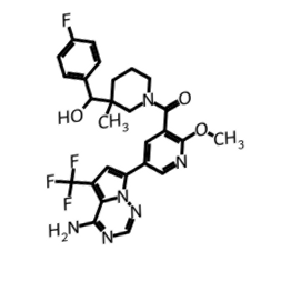 COc1ncc(-c2cc(C(F)(F)F)c3c(N)ncnn23)cc1C(=O)N1CCCC(C)(C(O)c2ccc(F)cc2)C1